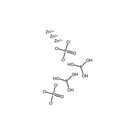 O=P([O-])([O-])[O-].O=P([O-])([O-])[O-].OB(O)O.OB(O)O.[Zn+2].[Zn+2].[Zn+2]